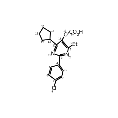 CCc1nc(-c2ccc(Cl)cc2)nc(C2CCCC2)c1OC(=O)O